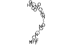 N#Cc1ccc(N2CCC(c3ccc(OCCCCN4CCN(c5ccc6c(c5)C(=O)N(C5CCC(=O)NC5=O)C6=O)CC4)nc3)CC2)cc1C(F)(F)F